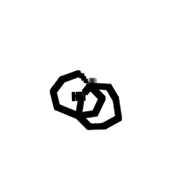 C1CCC23CCCC[C@](CC1)(CC2)N3